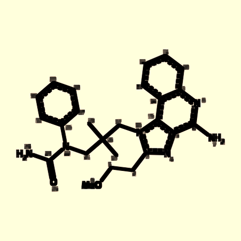 COCCc1nc2c(N)nc3ccccc3c2n1CC(C)(C)CN(C(N)=O)c1ccccc1